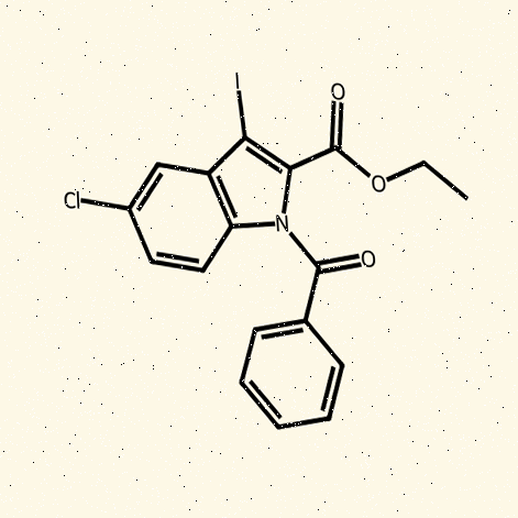 CCOC(=O)c1c(I)c2cc(Cl)ccc2n1C(=O)c1ccccc1